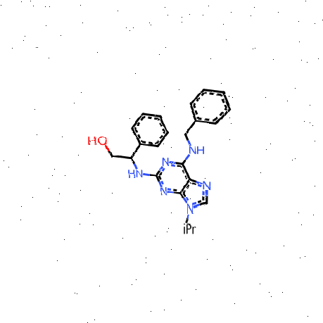 CC(C)n1cnc2c(NCc3ccccc3)nc(NC(CO)c3ccccc3)nc21